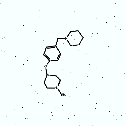 CCC(C)N1CCC(Oc2ccc(CN3CCCCC3)cc2)CC1